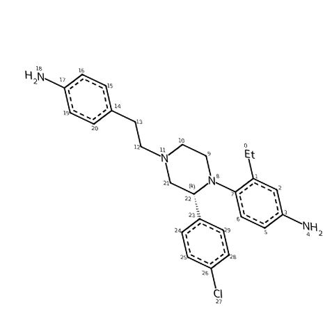 CCc1cc(N)ccc1N1CCN(CCc2ccc(N)cc2)C[C@H]1c1ccc(Cl)cc1